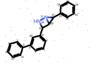 c1ccc(-c2cccc(C3NN4C(c5ccccc5)C34)c2)cc1